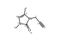 C#CCn1c(C)nn(C)c1=O